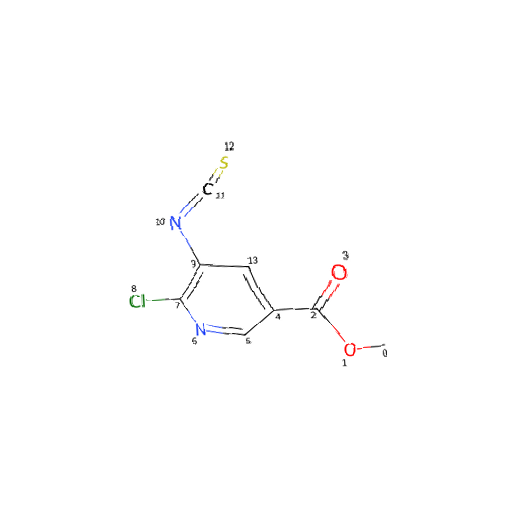 COC(=O)c1cnc(Cl)c(N=C=S)c1